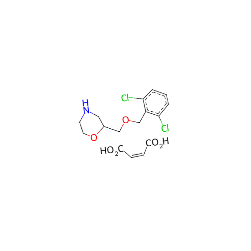 Clc1cccc(Cl)c1COCC1CNCCO1.O=C(O)/C=C\C(=O)O